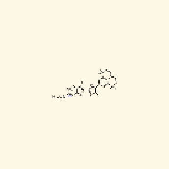 [C-]#[N+]/C(=C\c1sc(-c2sc(-c3cc4c5c(c3)C(C)(C)CCN5CCC4(C)C)c(C)c2C)c(C)c1C)C(=O)O